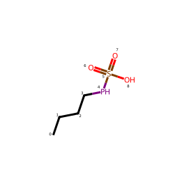 CCCCPS(=O)(=O)O